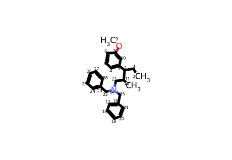 CCC(c1cccc(OC)c1)C(C)CN(Cc1ccccc1)Cc1ccccc1